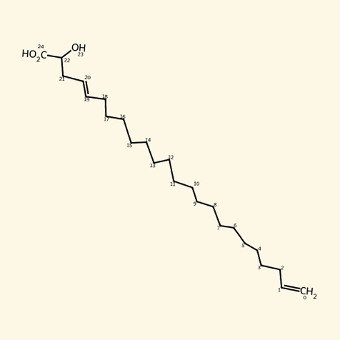 C=CCCCCCCCCCCCCCCCCC/C=C/CC(O)C(=O)O